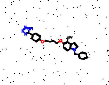 CCCc1c(OCCCCOc2ccc(-c3nnn[nH]3)cc2)ccc2c1ccn2Cc1ccccc1